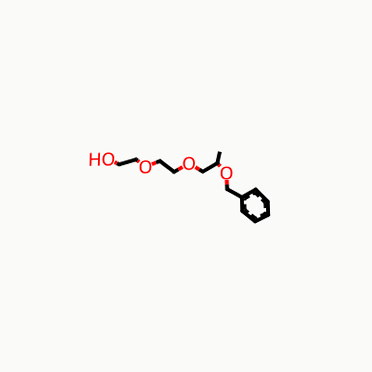 CC(COCCOCCO)OCc1ccccc1